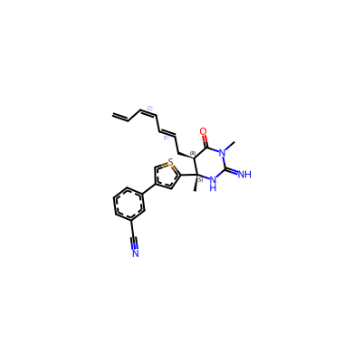 C=C/C=C\C=C\C[C@H]1C(=O)N(C)C(=N)N[C@]1(C)c1cc(-c2cccc(C#N)c2)cs1